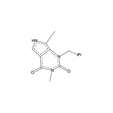 Cc1[nH]cc2c(=O)n(C)c(=O)n(CC(C)C)c12